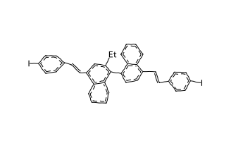 CCc1cc(/C=C/c2ccc(I)cc2)c2ccccc2c1-c1ccc(/C=C/c2ccc(I)cc2)c2ccccc12